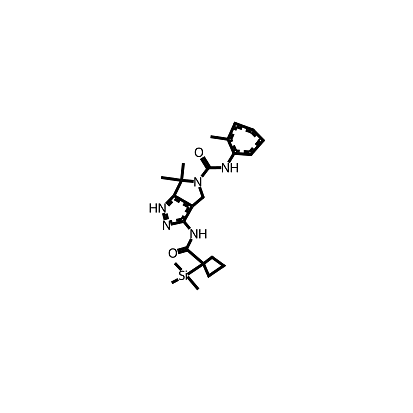 Cc1ccccc1NC(=O)N1Cc2c(NC(=O)C3([Si](C)(C)C)CCC3)n[nH]c2C1(C)C